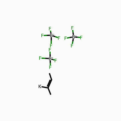 CC=[C](C)[K].F[B-](F)(F)F.F[B-](F)(F)F.F[B-](F)(F)F